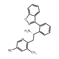 Cc1cc(C#N)cnc1C[C@H](N)c1ccccc1-c1noc2ccccc12